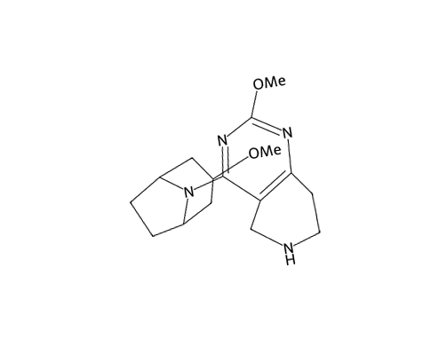 COc1nc2c(c(N3C4CCC3CC(OC)C4)n1)CNCC2